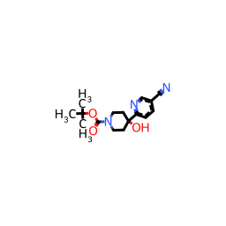 CC(C)(C)OC(=O)N1CCC(O)(c2ccc(C#N)cn2)CC1